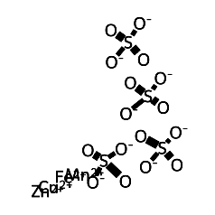 O=S(=O)([O-])[O-].O=S(=O)([O-])[O-].O=S(=O)([O-])[O-].O=S(=O)([O-])[O-].[Cu+2].[Fe+2].[Mn+2].[Zn+2]